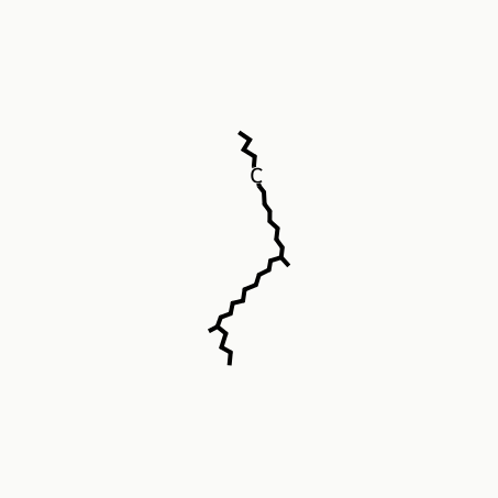 CCCCCCCCCCCCCCC(C)CCCCCCCCCC(C)CCCC